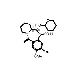 COc1cc2c(cc1O)N(C(=O)O)[C@@H](OC1CCCCO1)[C@@H]1CCCCN1C2=O